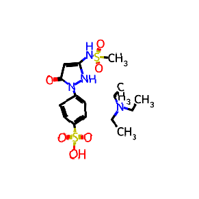 CCN(CC)CC.CS(=O)(=O)Nc1cc(=O)n(-c2ccc(S(=O)(=O)O)cc2)[nH]1